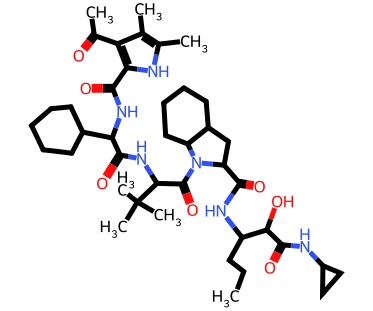 CCCC(NC(=O)C1CC2CCCCC2N1C(=O)C(NC(=O)C(NC(=O)c1[nH]c(C)c(C)c1C(C)=O)C1CCCCC1)C(C)(C)C)C(O)C(=O)NC1CC1